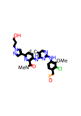 CNC(=O)c1nc(-c2cnn(CCCO)c2)ccc1Nc1nc(Nc2ccc(CP=O)c(Cl)c2OC)ncc1C(F)(F)F